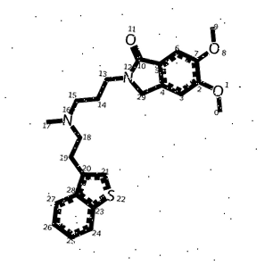 COc1cc2c(cc1OC)C(=O)N(CCCN(C)CCc1csc3ccccc13)C2